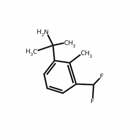 Cc1c(C(F)F)cccc1C(C)(C)N